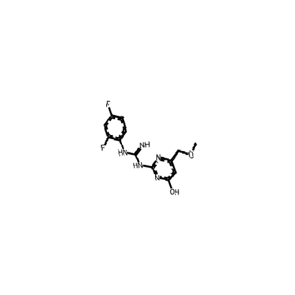 COCc1cc(O)nc(NC(=N)Nc2ccc(F)cc2F)n1